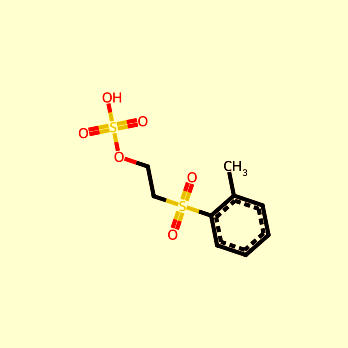 Cc1ccccc1S(=O)(=O)CCOS(=O)(=O)O